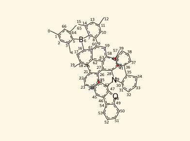 Cc1cc(C)c(B(c2c(C)cc(C)cc2C)c2cc(C)c3c4ccccc4c4c(N(c5ccccc5-c5ccccc5)c5cccc6c5oc5ccccc56)cc(C)c5ccc2c3c54)c(C)c1